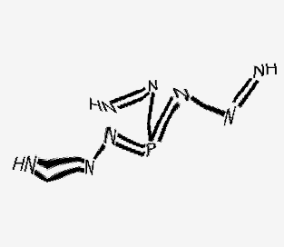 N=N/N=P(\N=N)=N\N=N